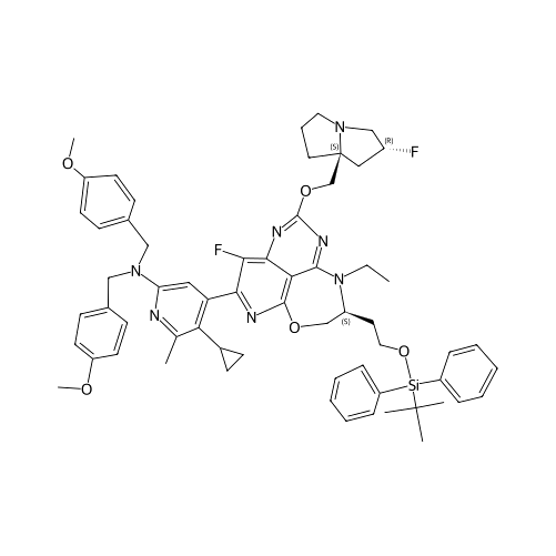 CCN1c2nc(OC[C@@]34CCCN3C[C@H](F)C4)nc3c(F)c(-c4cc(N(Cc5ccc(OC)cc5)Cc5ccc(OC)cc5)nc(C)c4C4CC4)nc(c23)OC[C@@H]1CCO[Si](c1ccccc1)(c1ccccc1)C(C)(C)C